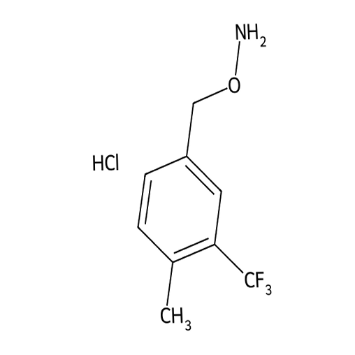 Cc1ccc(CON)cc1C(F)(F)F.Cl